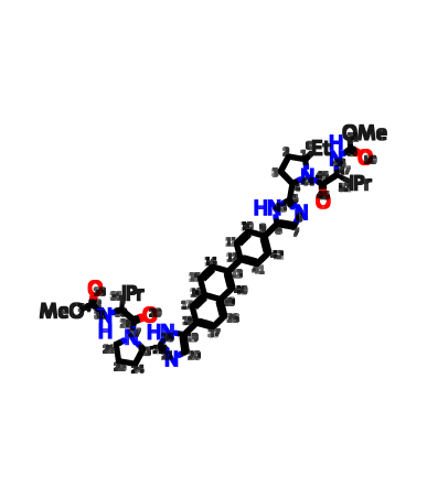 CCC1CCC(c2ncc(-c3ccc(-c4ccc5cc(-c6cnc([C@@H]7CCCN7C(=O)[C@@H](NC(=O)OC)C(C)C)[nH]6)ccc5c4)cc3)[nH]2)N1C(=O)[C@@H](NC(=O)OC)C(C)C